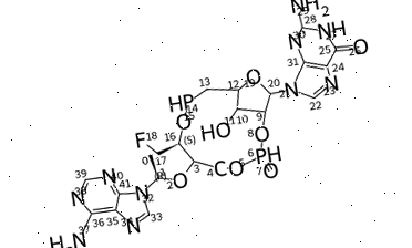 C[C@@H](OC1CO[PH](=O)OC2C(O)C(CPO[C@@H]1CF)OC2n1cnc2c(=O)[nH]c(N)nc21)n1cnc2c(N)ncnc21